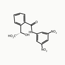 O=C(Nc1cc([N+](=O)[O-])cc([N+](=O)[O-])c1)c1ccccc1[C@H](O)C(=O)O